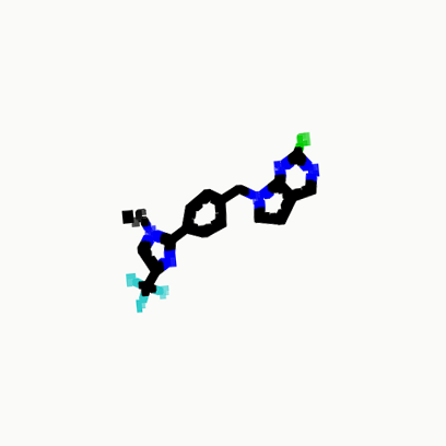 Cn1cc(C(F)(F)F)nc1-c1ccc(Cn2ccc3cnc(Cl)nc32)cc1